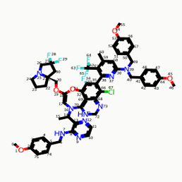 COc1ccc(CNc2nccnc2C(C)N2C=C(OC[C@@]34CCCN3CC(F)(F)C4)Oc3c(F)c(-c4nc(N(Cc5ccc(OC)cc5)Cc5ccc(OC)cc5)cc(C)c4C(F)(F)F)c(Cl)c4c3=C2NCN=4)cc1